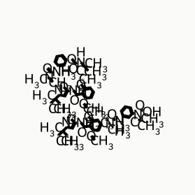 CCC(C)(CC)c1cc(NC(=O)c2c(OC)cccc2OC)on1.CCC(C)(CC)c1cc(NC(=O)c2c(OC)cccc2OC)on1.CN(C)C(=O)Nc1cccc(N(C(=O)O)C(C)(C)C)c1.CN(C)C(=O)Nc1cccc(OC(=O)NC(C)(C)C)c1